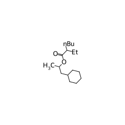 CCCCC(CC)C(=O)OC(C)CC1CCCCC1